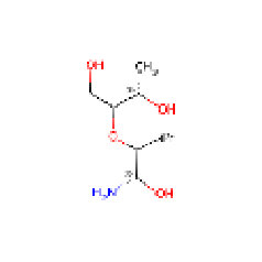 CC(C)C(OC(CO)[C@H](C)O)[C@@H](N)O